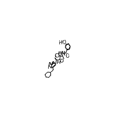 O=C(N[C@H]1CO[C@@H]2[C@@H](n3cc(CC4CCCCC4)nn3)CO[C@]12O)c1cccc(O)c1